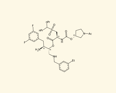 CCCC(CCC)S(=O)(=O)C[C@@H](NC(=O)O[C@@H]1CCN(C(C)=O)C1)C(=O)O[C@H](CNCc1cccc(CC)c1)[C@@H](N)Cc1cc(F)cc(F)c1